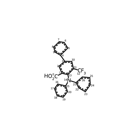 O=C(O)c1cc(-c2ccccc2)cc(C(F)(F)F)c1N(c1ccccc1)c1ccccc1